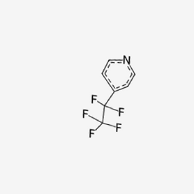 FC(F)(F)C(F)(F)c1ccncc1